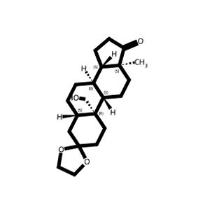 C[C@]12CC[C@H]3[C@@H](CC[C@H]4CC5(CC[C@@]43CO)OCCO5)[C@@H]1CCC2=O